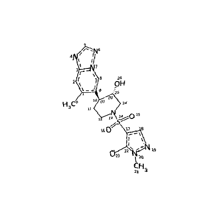 Cc1cc2ncnn2cc1[C@@H]1CCN(S(=O)(=O)c2cnn(C)c2Cl)C[C@H]1O